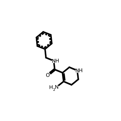 NC1=C(C(=O)NCc2ccccc2)CNCC1